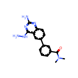 CN(C)C(=O)c1cccc(-c2ccc3nc(N)nc(NN)c3c2)c1